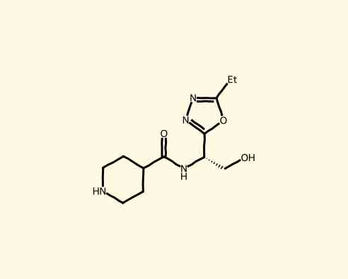 CCc1nnc([C@H](CO)NC(=O)C2CCNCC2)o1